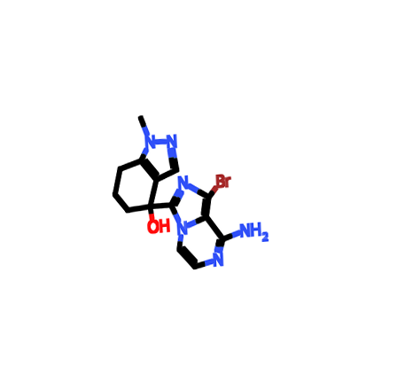 Cn1ncc2c1CCCC2(O)c1nc(Br)c2c(N)nccn12